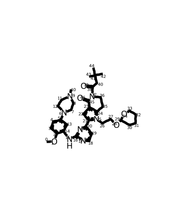 COc1ccc(N2CCN(C)CC2)cc1Nc1nccc(-c2cc3c(n2CCOC2CCCCO2)CCN(C(=O)CC(C)(C)C)C3=O)n1